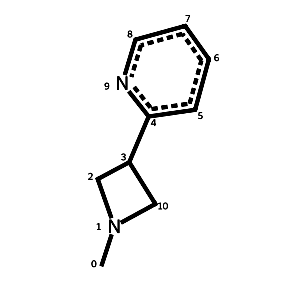 CN1CC(c2ccccn2)C1